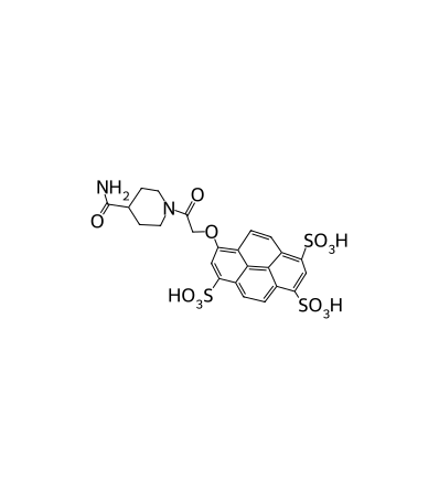 NC(=O)C1CCN(C(=O)COc2cc(S(=O)(=O)O)c3ccc4c(S(=O)(=O)O)cc(S(=O)(=O)O)c5ccc2c3c54)CC1